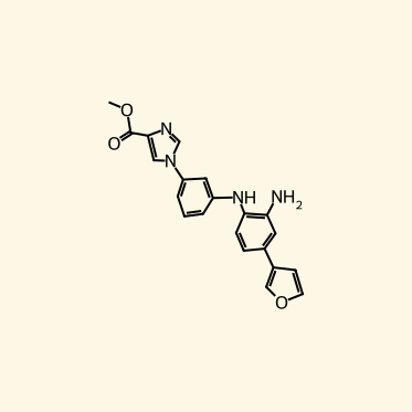 COC(=O)c1cn(-c2cccc(Nc3ccc(-c4ccoc4)cc3N)c2)cn1